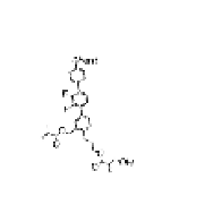 C=C(C)C(=O)OCc1cc(-c2ccc(-c3ccc(CCCCC)cc3)c(F)c2F)ccc1CCCOC(=O)C(=C)CO